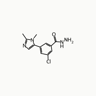 Cc1ncc(-c2cc(Cl)cc(C(=O)NN)c2)n1C